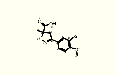 COc1ccc(C2=NOC(C)(C(=O)O)C2)cc1Br